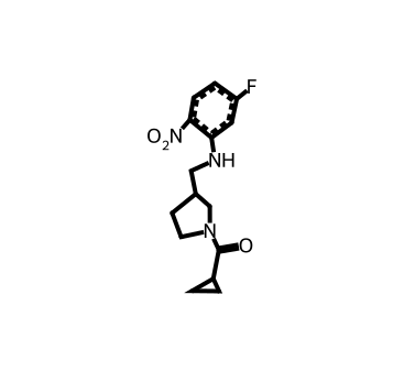 O=C(C1CC1)N1CCC(CNc2cc(F)ccc2[N+](=O)[O-])C1